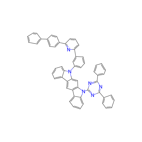 c1ccc(-c2ccc(-c3cccc(-c4cccc(-n5c6ccccc6c6cc7c8ccccc8n(-c8nc(-c9ccccc9)nc(-c9ccccc9)n8)c7cc65)c4)n3)cc2)cc1